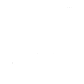 CCCCCCCCCCCC(=O)NCC(C)O